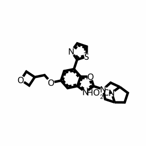 O=C(O)N1C2CCC1CN(c1nc3cc(OCC4COC4)cc(-c4nccs4)c3o1)C2